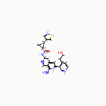 Nc1nc(-c2cnccc2CCO)cc2cc(NC(=O)[C@@H]3CC3c3cnsc3)ncc12